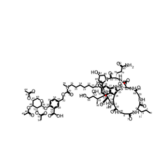 CC[C@H](C)[C@@H]1NC(=O)CNC(=O)[C@@H]2Cc3c([nH]c4cc(OCCCCCCN(C)C(=O)OCc5ccc(O[C@@H]6OC[C@@H](OC(C)=O)[C@H](OC(C)=O)[C@H]6OC(C)=O)c(C(=O)O)c5)ccc34)[S+]([O-])[C@H](NC(=O)CNC1=O)C(=O)N[C@@H](CCC(N)=O)C(=O)N1C[C@H](O)C[C@H]1C(=O)N[C@@H]([C@@H](C)[C@@H](O)CO)C(=O)N2